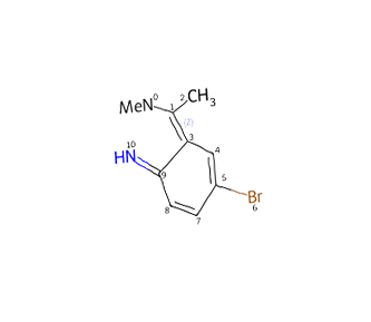 CN/C(C)=C1/C=C(Br)C=CC1=N